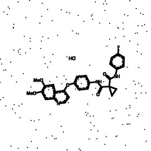 COc1cc2nccc(Oc3ccc(NC(=O)C4(C(=O)Nc5ccc(F)cc5)CC4)cc3)c2cc1OC.Cl